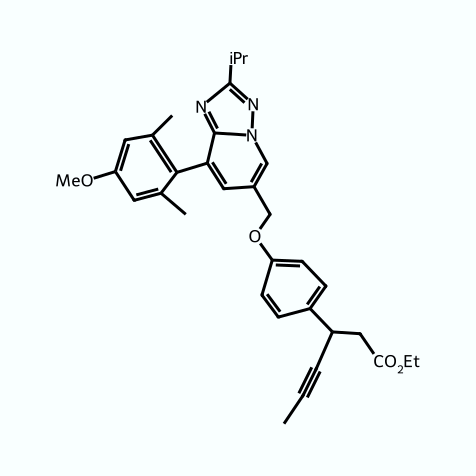 CC#CC(CC(=O)OCC)c1ccc(OCc2cc(-c3c(C)cc(OC)cc3C)c3nc(C(C)C)nn3c2)cc1